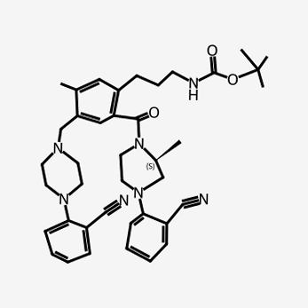 Cc1cc(CCCNC(=O)OC(C)(C)C)c(C(=O)N2CCN(c3ccccc3C#N)C[C@@H]2C)cc1CN1CCN(c2ccccc2C#N)CC1